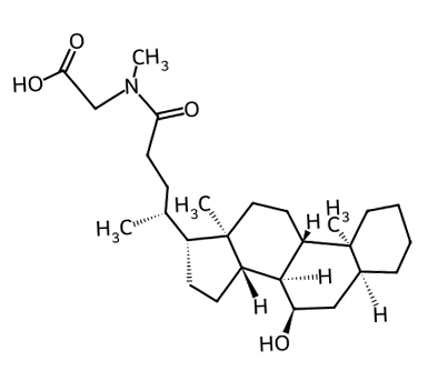 C[C@H](CCC(=O)N(C)CC(=O)O)[C@H]1CC[C@H]2[C@@H]3[C@H](O)C[C@@H]4CCCC[C@]4(C)[C@H]3CC[C@]12C